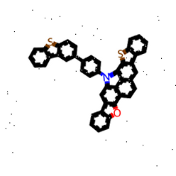 c1ccc2c(c1)oc1c2cc2c3c1ccc1cc4c5ccccc5sc4c(c13)n2-c1ccc(-c2ccc3sc4ccccc4c3c2)cc1